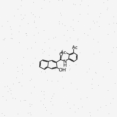 CC(=O)c1cccc(NC(=O)c2cc3ccccc3cc2O)c1C(C)=O